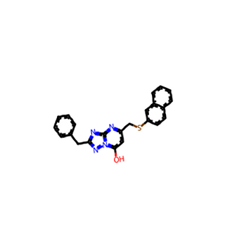 Oc1cc(CSc2ccc3ccccc3c2)nc2nc(Cc3ccccc3)nn12